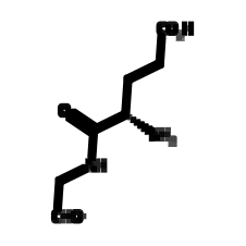 N[C@@H](CCC(=O)O)C(=O)NC[C]=O